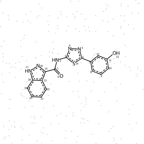 O=C(Nc1nnc(-c2cccc(O)c2)s1)c1n[nH]c2ccccc12